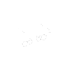 CO[C@@H](C)C(O)N1CCC(c2cc(F)cc3cc(-c4nn5cc(C(=O)N6C[C@H](N)C[C@@H](F)C6)ccc5c4C)n(CC4CC4)c23)CC1